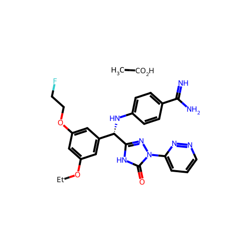 CC(=O)O.CCOc1cc(OCCF)cc([C@H](Nc2ccc(C(=N)N)cc2)c2nn(-c3cccnn3)c(=O)[nH]2)c1